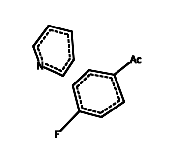 CC(=O)c1ccc(F)cc1.c1ccncc1